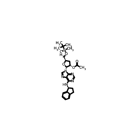 CC(=O)O[C@H]1C[C@H](CO[Si](C)(C)C(C)(C)C)O[C@H]1n1cnc2c(N[C@H]3CCc4ccccc43)ncnc21